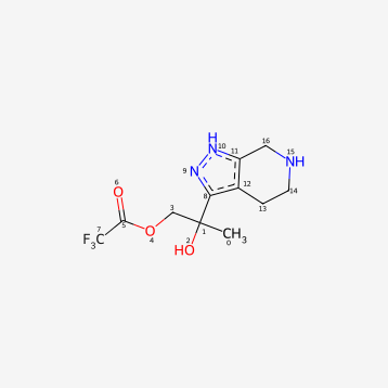 CC(O)(COC(=O)C(F)(F)F)c1n[nH]c2c1CCNC2